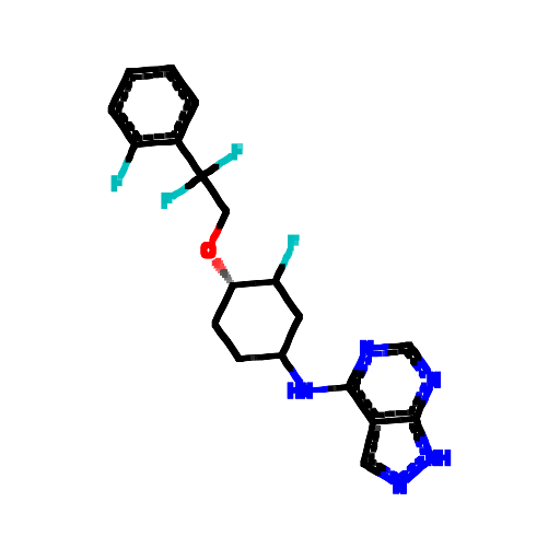 Fc1ccccc1C(F)(F)CO[C@H]1CCC(Nc2ncnc3[nH]ncc23)CC1F